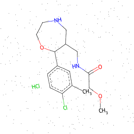 COCC(=O)NCC1CNCCOC1c1ccc(Cl)c(C)c1.Cl